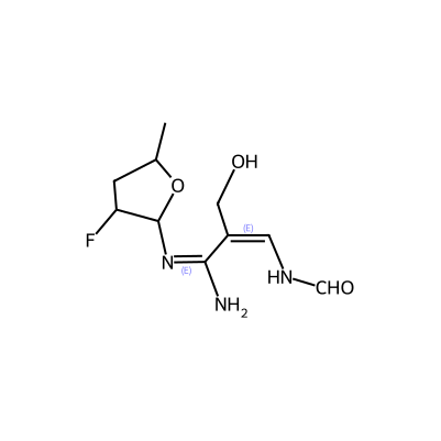 CC1CC(F)C(/N=C(N)\C(=C/NC=O)CO)O1